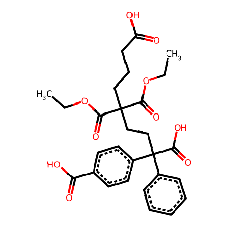 CCOC(=O)C(CCCC(=O)O)(CCC(C(=O)O)(c1ccccc1)c1ccc(C(=O)O)cc1)C(=O)OCC